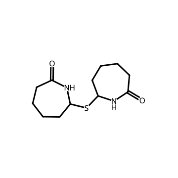 O=C1CCCCC(SC2CCCCC(=O)N2)N1